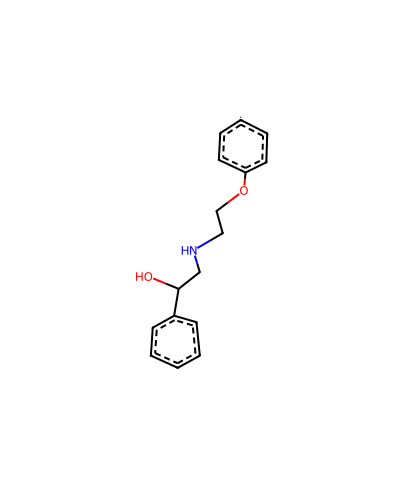 OC(CNCCOc1cc[c]cc1)c1ccccc1